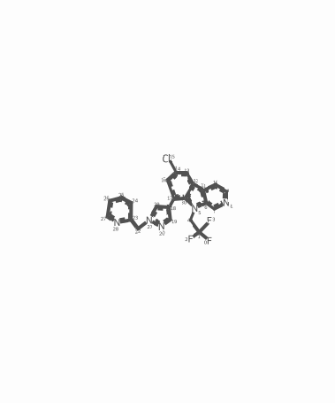 FC(F)(F)Cn1c2cnccc2c2cc(Cl)cc(-c3cnn(Cc4ccccn4)c3)c21